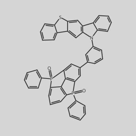 O=P1(c2ccccc2)c2cccc3c2-c2c1cc(-c1cccc(-n4c5ccccc5c5cc6sc7ccccc7c6cc54)c1)cc2P3(=O)c1ccccc1